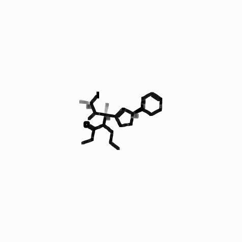 CCCC(C(=O)CC)[C@](C)(C1=C[C@@H](C2=CC=CCC2)CC1)C(C)[C@H](C)I